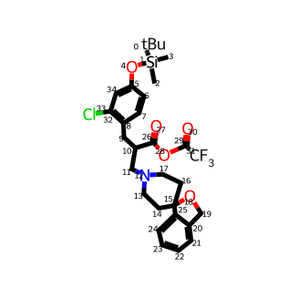 CC(C)(C)[Si](C)(C)Oc1ccc(CC(CN2CCC3(CC2)OCc2ccccc23)C(=O)OC(=O)C(F)(F)F)c(Cl)c1